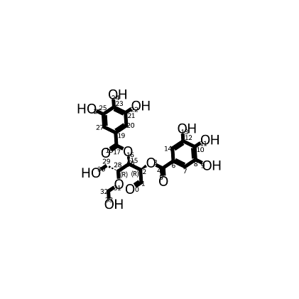 O=C[C@H](OC(=O)c1cc(O)c(O)c(O)c1)[C@H](OC(=O)c1cc(O)c(O)c(O)c1)[C@@H](CO)OCO